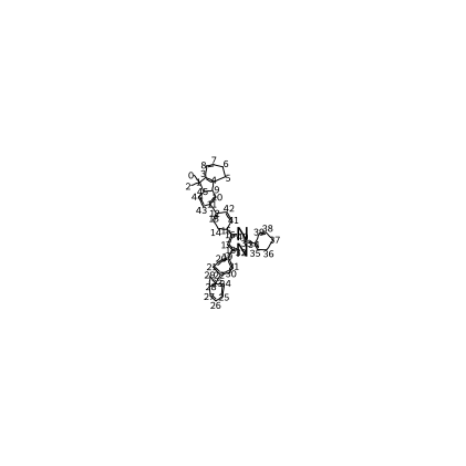 CC1(C)C2=C(CCC=C2)C2C=C(C3=CCC(c4cc(-c5ccc(C67C=CC=CC6C7)cc5)nc(C5=CCCC=C5)n4)C=C3)C=CC21